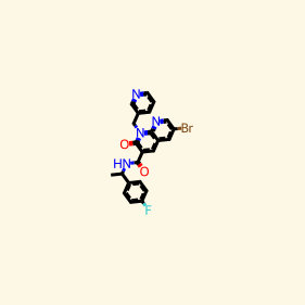 CC(NC(=O)c1cc2cc(Br)cnc2n(Cc2cccnc2)c1=O)c1ccc(F)cc1